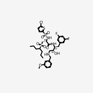 CCCC(CCC)S(=O)(=O)C[C@H](NS(=O)(=O)c1ccc(Cl)s1)C(=O)N[C@@H](Cc1cc(F)cc(F)c1)[C@H](O)CNCc1cccc(OC)c1